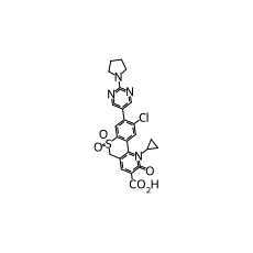 O=C(O)c1cc2c(n(C3CC3)c1=O)-c1cc(Cl)c(-c3cnc(N4CCCC4)nc3)cc1S(=O)(=O)C2